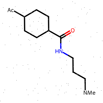 CNCCCNC(=O)C1CCC(C(C)=O)CC1